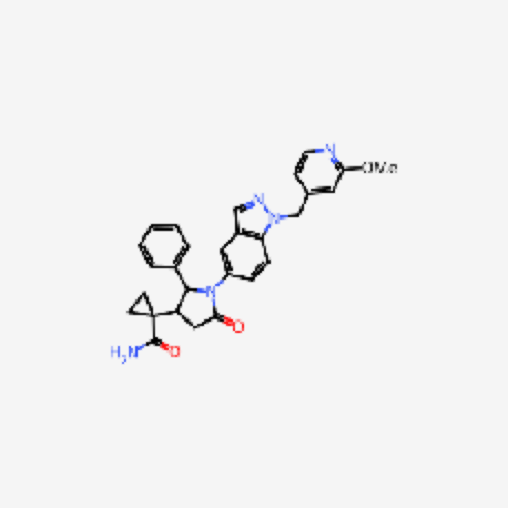 COc1cc(Cn2ncc3cc(N4C(=O)CC(C5(C(N)=O)CC5)C4c4ccccc4)ccc32)ccn1